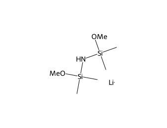 CO[Si](C)(C)N[Si](C)(C)OC.[Li]